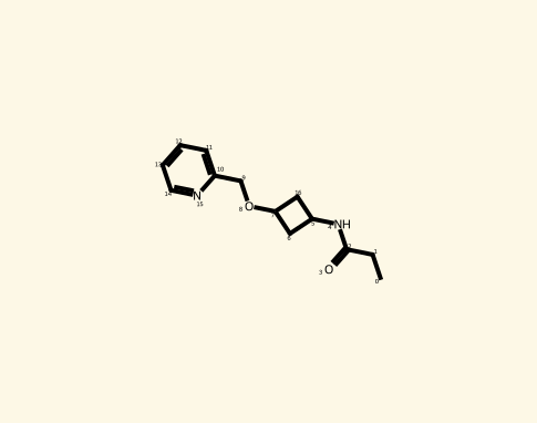 CCC(=O)NC1CC(OCc2ccccn2)C1